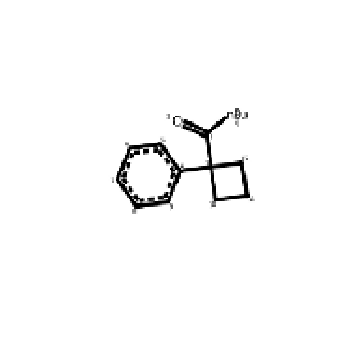 CCCCC(=O)C1(c2ccccc2)CCC1